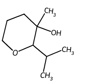 CC(C)C1OCCCC1(C)O